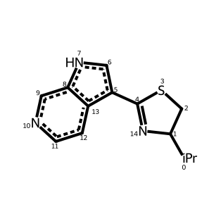 CC(C)C1CSC(c2c[nH]c3cnccc23)=N1